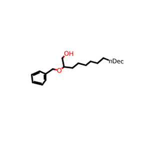 CCCCCCCCCCCCCCCCC(CO)OCc1ccccc1